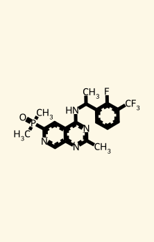 Cc1nc(NC(C)c2cccc(C(F)(F)F)c2F)c2cc(P(C)(C)=O)ncc2n1